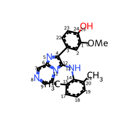 COc1cc(-c2nc3cnccn3c2Nc2c(C)cccc2C)ccc1O